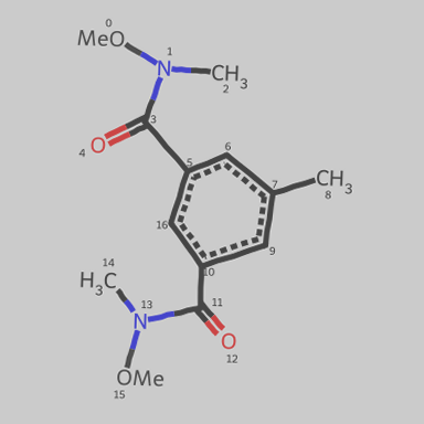 CON(C)C(=O)c1cc(C)cc(C(=O)N(C)OC)c1